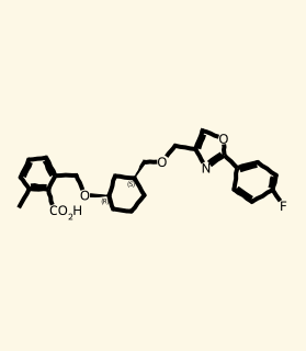 Cc1cccc(CO[C@@H]2CCC[C@H](COCc3coc(-c4ccc(F)cc4)n3)C2)c1C(=O)O